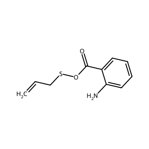 C=CCSOC(=O)c1ccccc1N